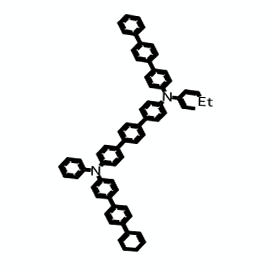 C/C=C(\C=C/CC)N(c1ccc(-c2ccc(-c3ccccc3)cc2)cc1)c1ccc(-c2ccc(-c3ccc(N(c4ccccc4)c4ccc(-c5ccc(C6=CCCC=C6)cc5)cc4)cc3)cc2)cc1